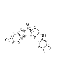 Cc1ccc(NC2CCN(C(=O)c3cc4cc(Cl)ccc4[nH]3)CC2)cc1C